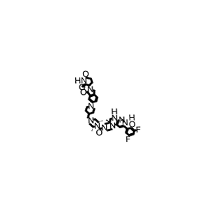 C[C@@H]1CN(CC2CCN(c3ccc4c(c3)C(=O)N([C@H]3CCC(=O)NC3=O)C4)CC2)C[C@H](C)N1C(=O)N1CCN2c3cc(-c4cc(F)cc(F)c4O)nnc3NC[C@@]2(C)C1